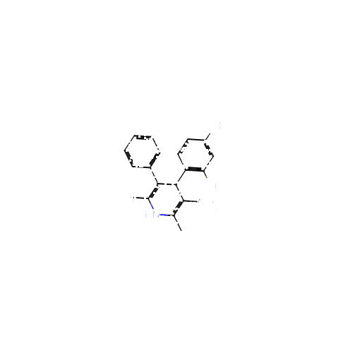 CC1=C(c2ccccc2)C(c2ccc(C(F)(F)F)cc2S)C([N+](=O)[O-])=C(C)N1